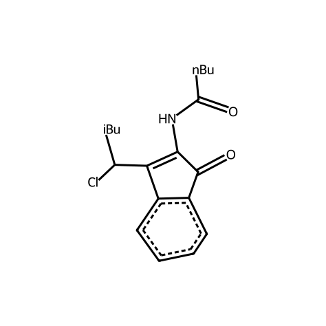 CCCCC(=O)NC1=C(C(Cl)C(C)CC)c2ccccc2C1=O